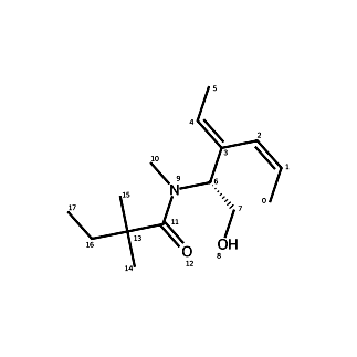 C/C=C\C(=C/C)[C@H](CO)N(C)C(=O)C(C)(C)CC